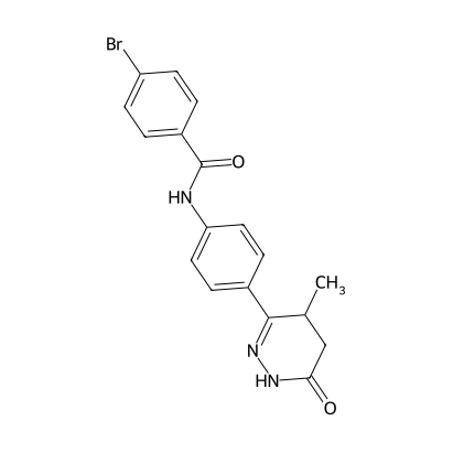 CC1CC(=O)NN=C1c1ccc(NC(=O)c2ccc(Br)cc2)cc1